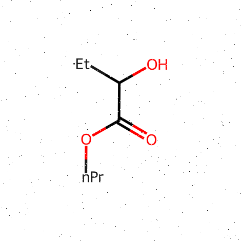 C[CH]C(O)C(=O)OCCC